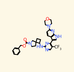 O=C(OCc1ccccc1)N1CCC2(CCC2Nc2ncc(C(F)(F)F)c(-c3c[nH]c4nc(N5CCOCC5)ccc34)n2)C1